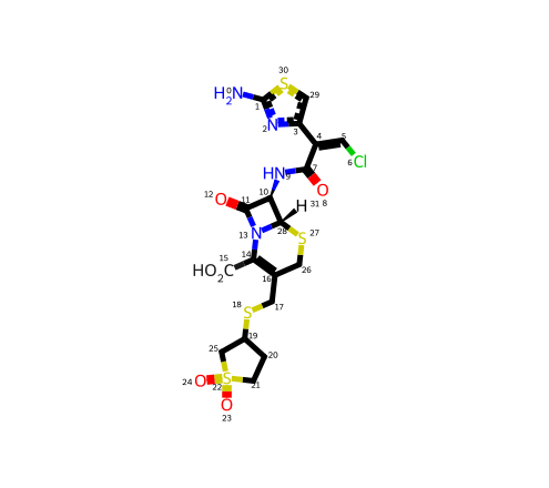 Nc1nc(/C(=C/Cl)C(=O)N[C@@H]2C(=O)N3C(C(=O)O)=C(CSC4CCS(=O)(=O)C4)CS[C@@H]23)cs1